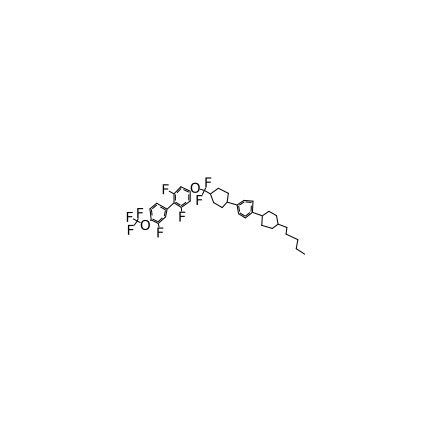 CCCCCC1CCC(c2ccc(C3CCC(C(F)(F)Oc4cc(F)c(-c5ccc(OC(F)(F)F)c(F)c5)c(F)c4)CC3)cc2)CC1